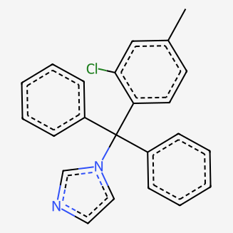 Cc1ccc(C(c2ccccc2)(c2ccccc2)n2ccnc2)c(Cl)c1